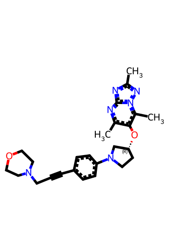 Cc1nc2nc(C)c(O[C@@H]3CCN(c4ccc(C#CCN5CCOCC5)cc4)C3)c(C)n2n1